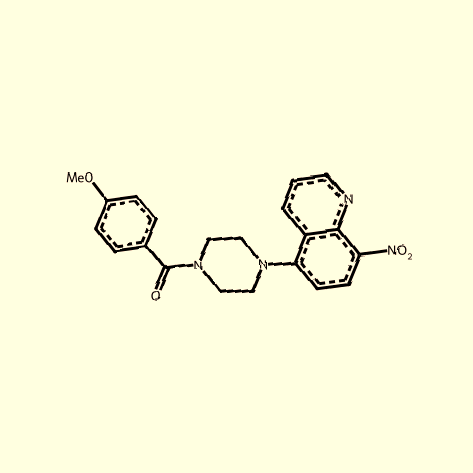 COc1ccc(C(=O)N2CCN(c3ccc([N+](=O)[O-])c4ncccc34)CC2)cc1